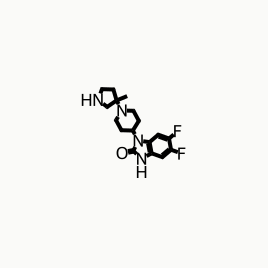 CC1(N2CCC(n3c(=O)[nH]c4cc(F)c(F)cc43)CC2)CCNC1